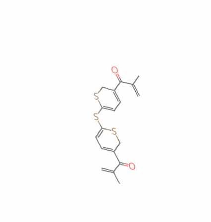 C=C(C)C(=O)C1=CC=C(SC2=CC=C(C(=O)C(=C)C)CS2)SC1